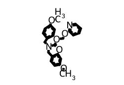 COc1ccc(CN(Cc2ccc(OC)cc2)C(=O)OCOc2ccccn2)cc1